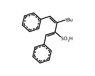 CC(C)(C)C(=Cc1ccccc1)C(=Cc1ccccc1)S(=O)(=O)O